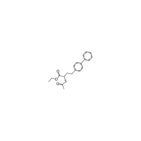 CCOC(=O)C(CCc1ccc(-c2ccccc2)cc1)SC(C)=O